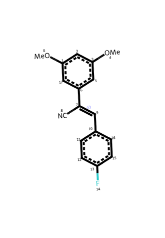 COc1cc(OC)cc(/C(C#N)=C/c2ccc(F)cc2)c1